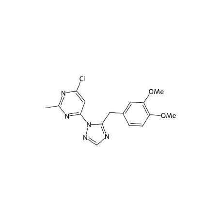 COc1ccc(Cc2ncnn2-c2cc(Cl)nc(C)n2)cc1OC